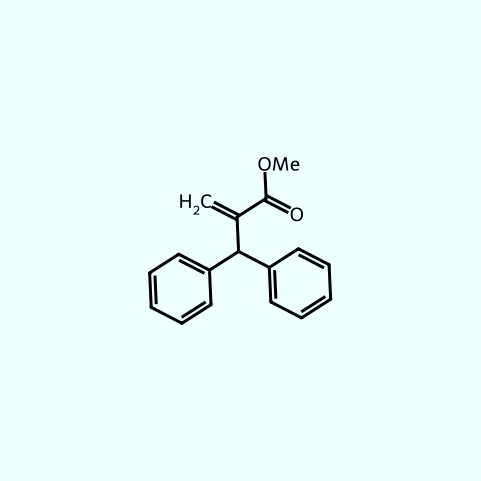 C=C(C(=O)OC)C(c1ccccc1)c1ccccc1